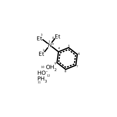 CC[N+](CC)(CC)c1ccccc1.O.P.[OH-]